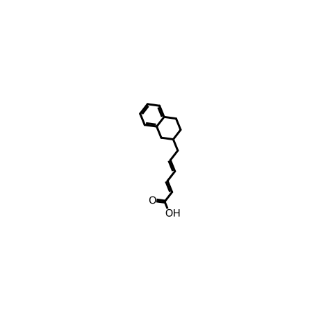 O=C(O)/C=C/C=CCC1CCc2ccccc2C1